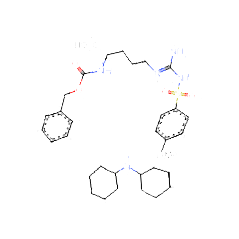 C1CCC(NC2CCCCC2)CC1.COc1ccc(S(=O)(=O)NC(N)=NCCC[C@H](NC(=O)OCc2ccccc2)C(=O)O)cc1